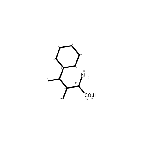 CC(C1CCCCC1)C(C)C(N)C(=O)O